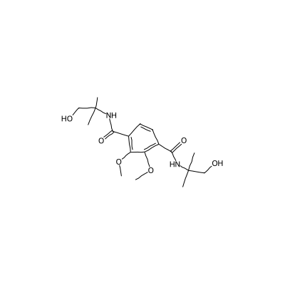 COc1c(C(=O)NC(C)(C)CO)ccc(C(=O)NC(C)(C)CO)c1OC